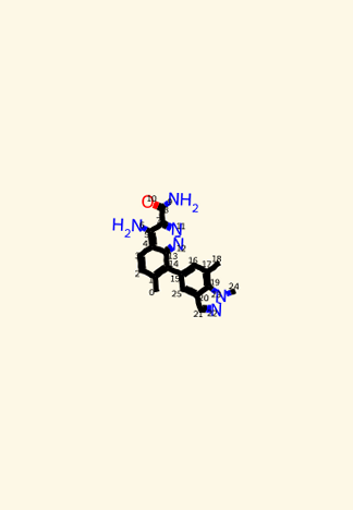 Cc1ccc2c(N)c(C(N)=O)nnc2c1-c1cc(C)c2c(cnn2C)c1